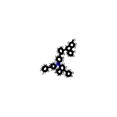 Cc1ccc2c(c1)cc(-c1cccc(-c3ccc(N(c4ccc(-c5ccccc5)cc4)c4ccc(-c5ccccc5)c5ccccc45)cc3)c1)c1ccccc12